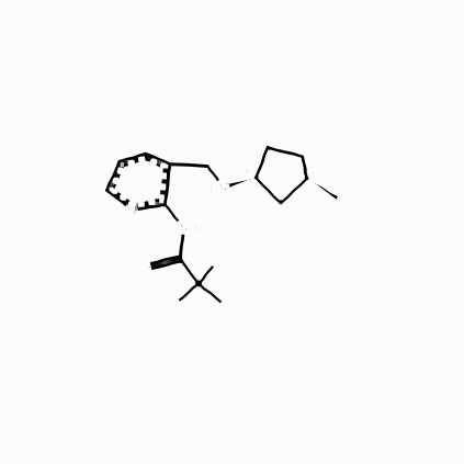 CC(C)(C)C(=O)Nc1ncccc1CN[C@H]1CC[C@@H](O)C1